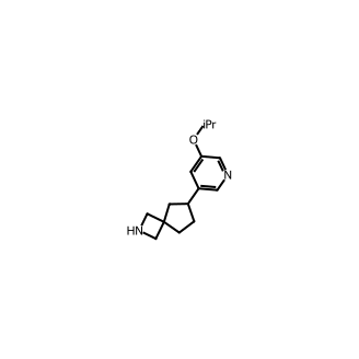 CC(C)Oc1cncc(C2CCC3(CNC3)C2)c1